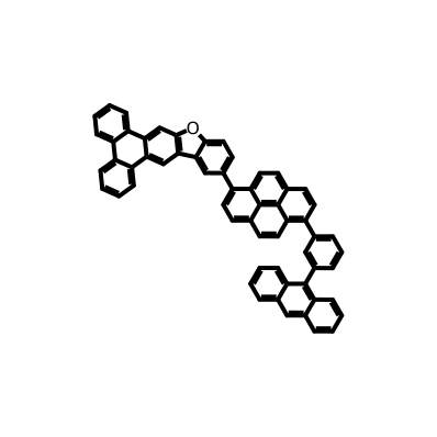 c1cc(-c2c3ccccc3cc3ccccc23)cc(-c2ccc3ccc4c(-c5ccc6oc7cc8c9ccccc9c9ccccc9c8cc7c6c5)ccc5ccc2c3c54)c1